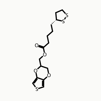 O=C(CCCC[C@@H]1CCSS1)OCC1COc2cscc2O1